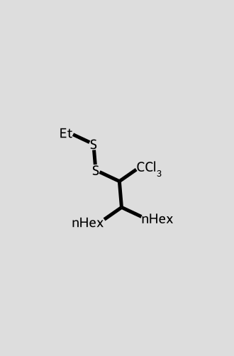 CCCCCCC(CCCCCC)C(SSCC)C(Cl)(Cl)Cl